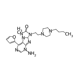 CCCCN1CCN(CCN2C(=O)N(C)N3C4=C(c5ccco5)N=CN(N)C4=NC23)CC1